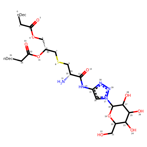 CCCCCCCCCCCC(=O)OC[C@H](CSC[C@@H](N)C(=O)Nc1cn(C2OC(CO)C(O)C(O)C2O)nn1)OC(=O)CCCCCCCCCCC